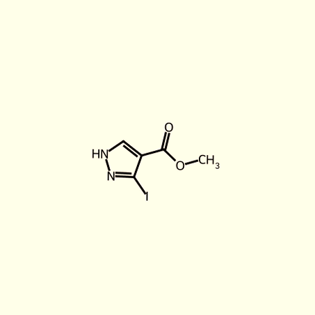 COC(=O)c1c[nH]nc1I